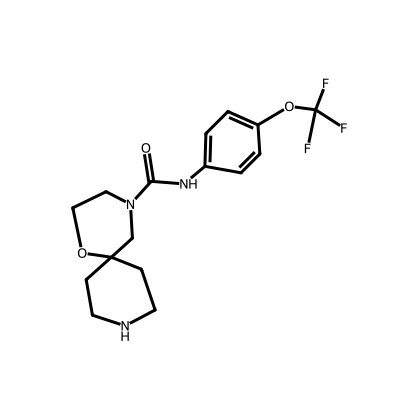 O=C(Nc1ccc(OC(F)(F)F)cc1)N1CCOC2(CCNCC2)C1